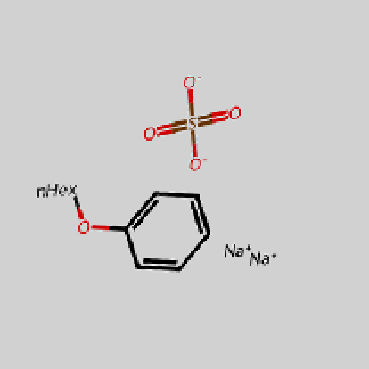 CCCCCCOc1ccccc1.O=S(=O)([O-])[O-].[Na+].[Na+]